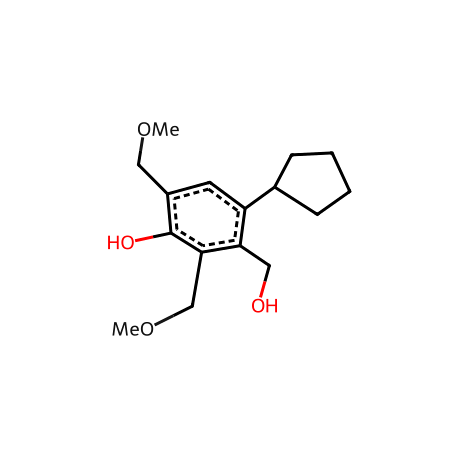 COCc1cc(C2CCCC2)c(CO)c(COC)c1O